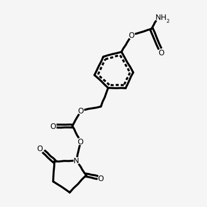 NC(=O)Oc1ccc(COC(=O)ON2C(=O)CCC2=O)cc1